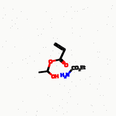 C=CC(=O)OC(C)O.CCOC(N)=O